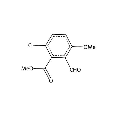 COC(=O)c1c(Cl)ccc(OC)c1C=O